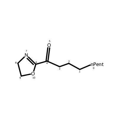 CCCCCCCCC(=O)C1=NCCO1